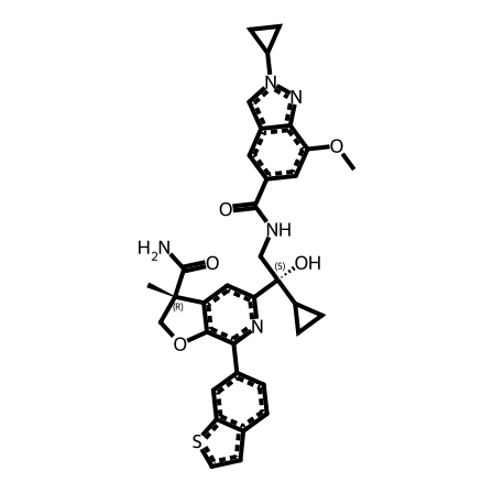 COc1cc(C(=O)NC[C@](O)(c2cc3c(c(-c4ccc5ccsc5c4)n2)OC[C@]3(C)C(N)=O)C2CC2)cc2cn(C3CC3)nc12